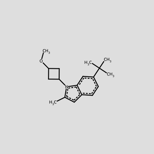 COC1CC(n2c(C)cc3ccc(C(C)(C)C)cc32)C1